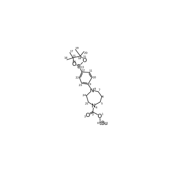 CC(C)(C)OC(=O)N1CCCN(c2ccc(B3OC(C)(C)C(C)(C)O3)cc2)CC1